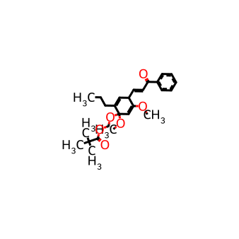 CCCC1=CC(/C=C/C(=O)c2ccccc2)C(OC)=CC1(OC)OCOC(=O)C(C)(C)C